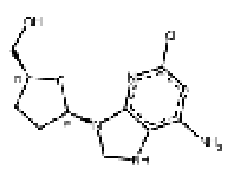 Nc1nc(Cl)nc2c1NCN2[C@H]1CC[C@@H](CO)O1